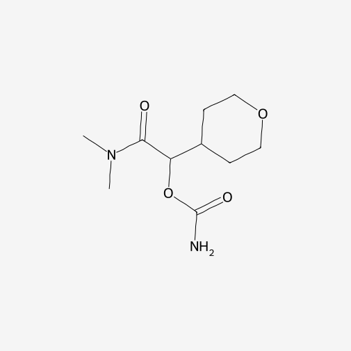 CN(C)C(=O)C(OC(N)=O)C1CCOCC1